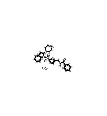 Cl.O=C(NCc1ccc(S(=O)(=O)n2c(N3CCNCC3)cc3ccccc32)s1)c1ccccc1